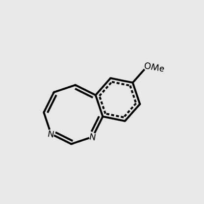 COc1ccc2c(c1)=CC=CN=CN=2